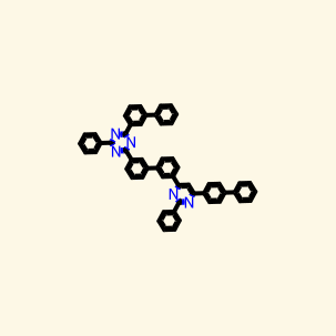 c1ccc(-c2ccc(-c3cc(-c4cccc(-c5cccc(-c6nc(-c7ccccc7)nc(-c7cccc(-c8ccccc8)c7)n6)c5)c4)nc(-c4ccccc4)n3)cc2)cc1